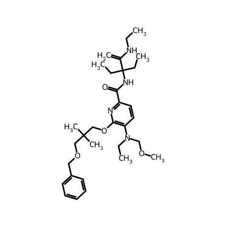 C=C(NCC)C(CC)(CC)NC(=O)c1ccc(N(CC)COC)c(OCC(C)(C)COCc2ccccc2)n1